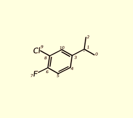 C[C](C)c1ccc(F)c(Cl)c1